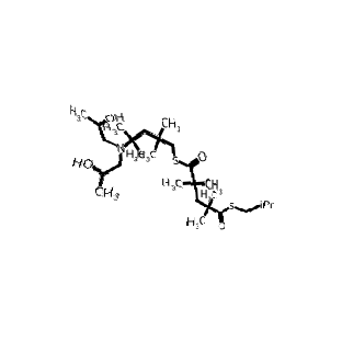 CC(C)CSC(=O)C(C)(C)CC(C)(C)C(=O)SCC(C)(C)CC(C)(C)N(CC(C)O)CC(C)O